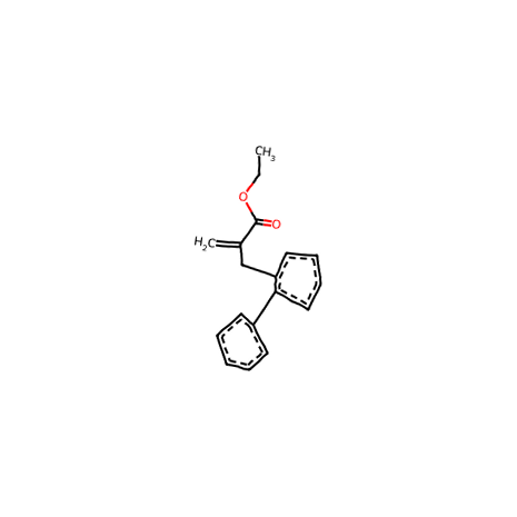 C=C(Cc1ccccc1-c1ccccc1)C(=O)OCC